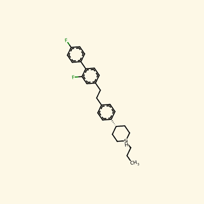 CCC[Si@H]1CC[C@H](c2ccc(CCc3ccc(-c4ccc(F)cc4)c(F)c3)cc2)CC1